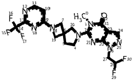 Cn1c(N2CCC3(CN(c4ccnc(C(F)(F)F)n4)C3)C2)nc2c(cnn2CC(F)F)c1=O